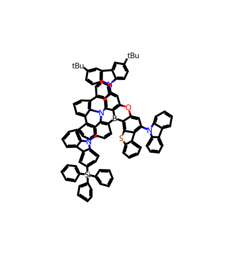 CC(C)(C)c1ccc2c(c1)c1cc(C(C)(C)C)ccc1n2-c1cc2c3c(c1)N(c1c(-c4ccccc4)cccc1-c1ccccc1)c1cc(-n4c5ccccc5c5cc([Si](c6ccccc6)(c6ccccc6)c6ccccc6)ccc54)ccc1B3c1c(cc(-n3c4ccccc4c4ccccc43)c3c1sc1ccccc13)O2